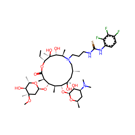 CC[C@H]1OC(=O)[C@H](C)[C@@H](O[C@H]2C[C@@](C)(OC)[C@@H](O)[C@H](C)O2)[C@H](C)[C@@H](O[C@@H]2O[C@H](C)C[C@H](N(C)C)[C@H]2O)[C@](C)(O)C[C@@H](C)CN(CCCNC(=S)Nc2ccc(F)c(F)c2F)[C@H](C)[C@@H](O)[C@]1(C)O